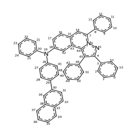 c1ccc(-c2nn3c(-c4ccccc4)cc4ccc(N(c5ccccc5)c5ccc(-c6ccc7ccccc7c6)cc5)cc4c3c2-c2ccccc2)cc1